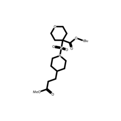 COC(=O)CCC1CCN(S(=O)(=O)C2(C(=O)OC(C)(C)C)CCOCC2)CC1